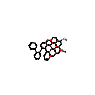 CC(C)(C)c1cc(-c2ccccc2N(c2ccccc2-c2ccccc2-c2ccccc2-c2ccccc2)c2ccccc2-c2cccc3cccc(C4CCCCC4)c23)cc(C(C)(C)C)c1